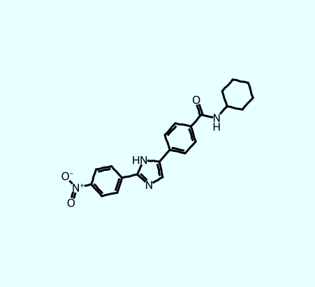 O=C(NC1CCCCC1)c1ccc(-c2cnc(-c3ccc([N+](=O)[O-])cc3)[nH]2)cc1